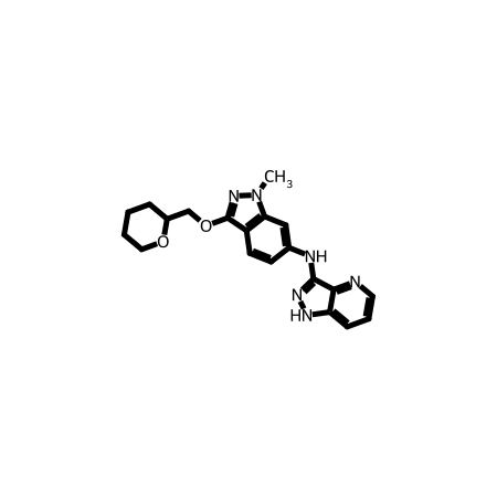 Cn1nc(OCC2CCCCO2)c2ccc(Nc3n[nH]c4cccnc34)cc21